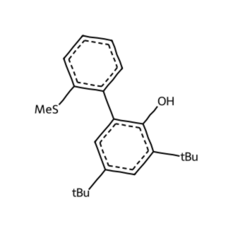 CSc1ccccc1-c1cc(C(C)(C)C)cc(C(C)(C)C)c1O